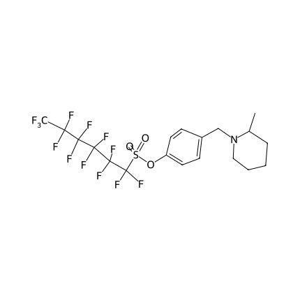 CC1CCCCN1Cc1ccc(OS(=O)(=O)C(F)(F)C(F)(F)C(F)(F)C(F)(F)C(F)(F)C(F)(F)F)cc1